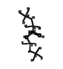 CC(C)(C)CC(C)(C)O[PH](=O)C(C)(C)CC(C)(C)C